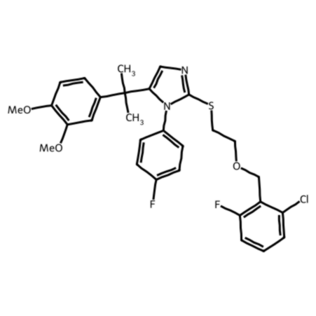 COc1ccc(C(C)(C)c2cnc(SCCOCc3c(F)cccc3Cl)n2-c2ccc(F)cc2)cc1OC